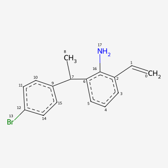 C=Cc1cccc(C(C)c2ccc(Br)cc2)c1N